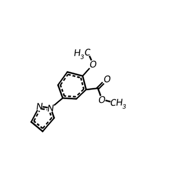 COC(=O)c1cc(-n2cccn2)ccc1OC